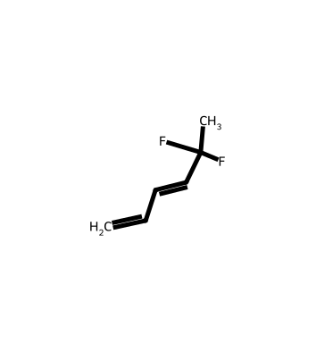 C=C/C=C/C(C)(F)F